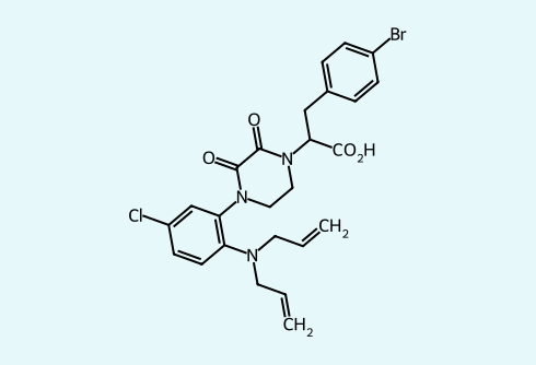 C=CCN(CC=C)c1ccc(Cl)cc1N1CCN(C(Cc2ccc(Br)cc2)C(=O)O)C(=O)C1=O